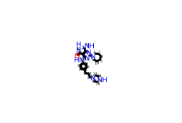 N=Cc1nc(N2CCCCCC2)nc(Nc2ccc(CCCN3CCNCC3)cc2)c1C(N)=O